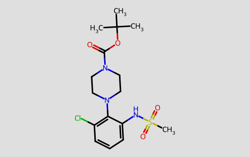 CC(C)(C)OC(=O)N1CCN(c2c(Cl)cccc2NS(C)(=O)=O)CC1